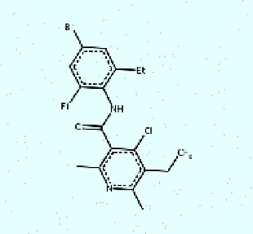 CCc1cc(Br)cc(CC)c1NC(=O)c1c(C)nc(C)c(CC(F)(F)F)c1Cl